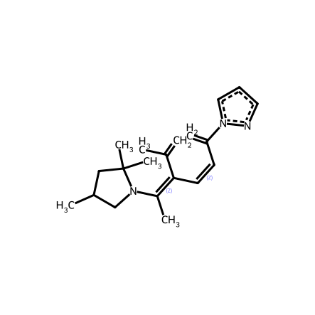 C=C(C)C(/C=C\C(=C)n1cccn1)=C(/C)N1CC(C)CC1(C)C